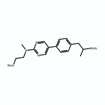 COCCN(C)c1ncc(-c2ccc(CC(C)NC(C)=O)cc2)cn1